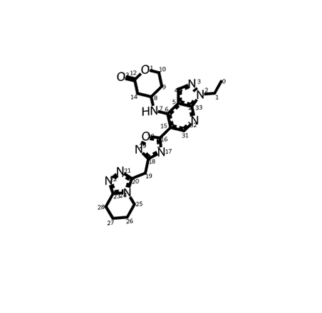 CCn1ncc2c(NC3CCOC(=O)C3)c(-c3nc(Cc4nnc5n4CCCC5)no3)cnc21